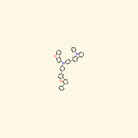 c1ccc(-c2cccc3c2oc2ccc(-c4ccc(N(c5ccc(-c6ccc7c8ccccc8n(-c8ccccc8)c7c6)cc5)c5ccc6oc7ccccc7c6c5)cc4)cc23)cc1